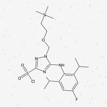 CC(C)c1cc(F)cc(C(C)C)c1Nc1nc(S(=O)(=O)Cl)nn1COCC[Si](C)(C)C